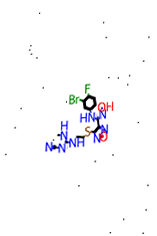 CN/C(=N\C#N)NCCSc1nonc1/C(=N/O)Nc1ccc(F)c(Br)c1